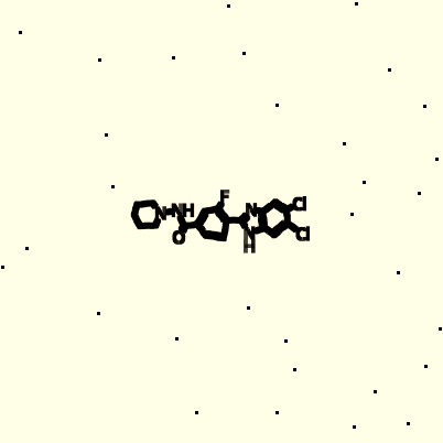 O=C(NN1CCCCC1)c1ccc(-c2nc3cc(Cl)c(Cl)cc3[nH]2)c(F)c1